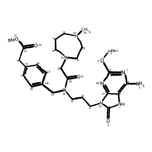 CCCCOc1nc(N)c2[nH]c(=O)n(CCCN(Cc3ccc(CC(=O)OC)cc3)C(=O)CN3CCCN(C)CC3)c2n1